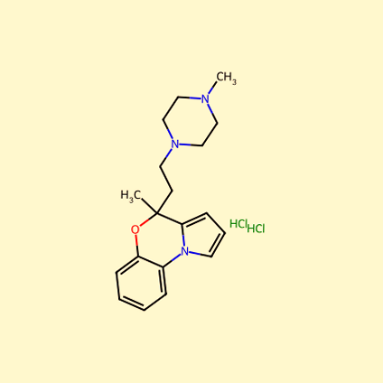 CN1CCN(CCC2(C)Oc3ccccc3-n3cccc32)CC1.Cl.Cl